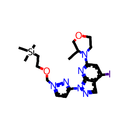 CC1COCCN1c1cc(I)c2cnn(-c3ccn(COCC[Si](C)(C)C)n3)c2n1